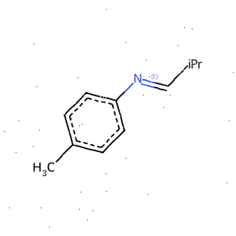 Cc1ccc(/N=C/C(C)C)cc1